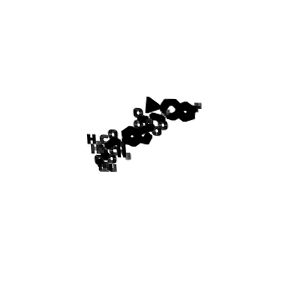 CC(C)(C)OC(=O)NC(C)(C)C(=O)Nc1ccc2c(c1)CC[C@@]21OC(=O)N(CC(=O)N2Cc3ccc(F)cc3CC[C@H]2C2CC2)C1=O